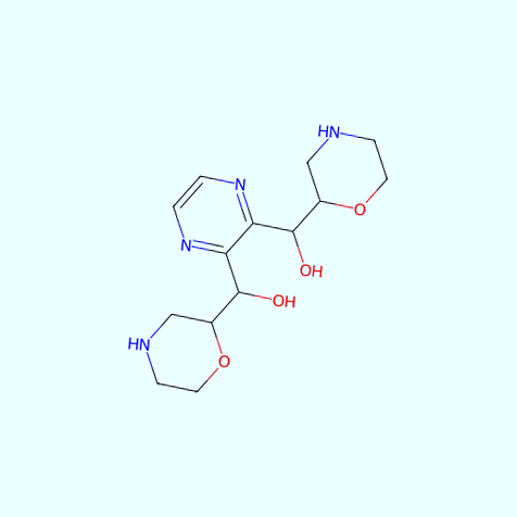 OC(c1nccnc1C(O)C1CNCCO1)C1CNCCO1